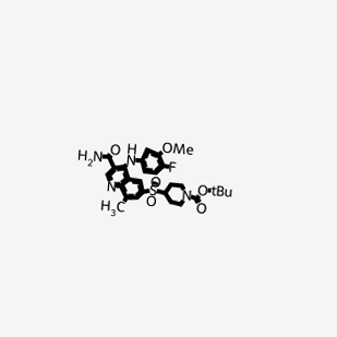 COc1cc(Nc2c(C(N)=O)cnc3c(C)cc(S(=O)(=O)C4CCN(C(=O)OC(C)(C)C)CC4)cc23)ccc1F